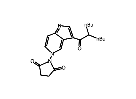 CCCCC(CCCC)C(=O)c1cnc2ccn(N3C(=O)CCC3=O)cc1-2